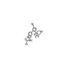 CN1CCC(Oc2cnc(C#N)cc2-c2ccn3nc(NC(=O)C4CC4)cc3c2)(C(F)(F)F)CC1